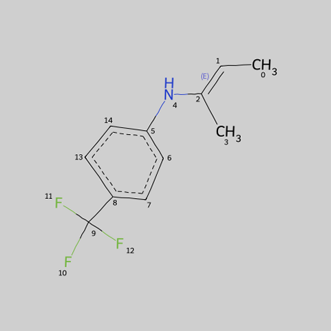 C/C=C(\C)Nc1ccc(C(F)(F)F)cc1